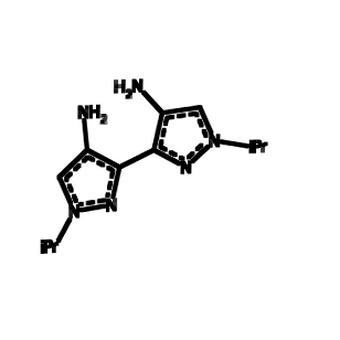 CC(C)n1cc(N)c(-c2nn(C(C)C)cc2N)n1